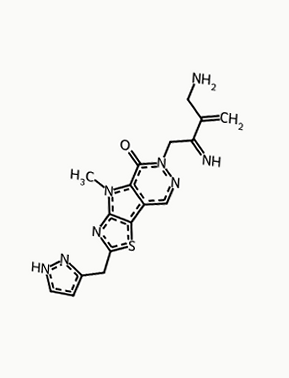 C=C(CN)C(=N)Cn1ncc2c3sc(Cc4cc[nH]n4)nc3n(C)c2c1=O